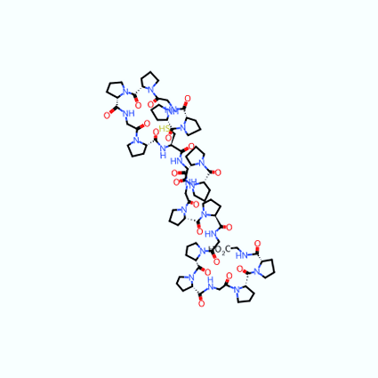 O=C(O)CNC(=O)[C@@H]1CCCN1C(=O)[C@@H]1CCCN1C(=O)CNC(=O)[C@@H]1CCCN1C(=O)[C@@H]1CCCN1C(=O)CNC(=O)[C@@H]1CCCN1C(=O)[C@@H]1CCCN1C(=O)CNC(=O)[C@@H]1CCCN1C(=O)[C@@H]1CCCN1C(=O)CNC(=O)[C@H](CS)NC(=O)[C@@H]1CCCN1C(=O)CNC(=O)[C@@H]1CCCN1C(=O)[C@@H]1CCCN1C(=O)CNC(=O)[C@@H]1CCCN1C(=O)[C@@H]1CCCN1